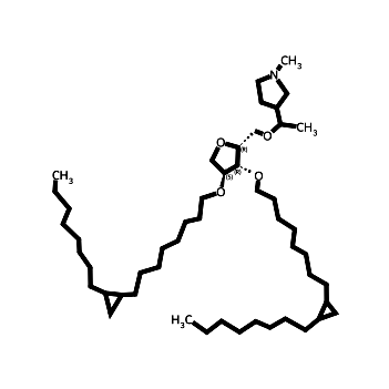 CCCCCCCCC1CC1CCCCCCCCO[C@@H]1[C@@H](OCCCCCCCCC2CC2CCCCCCCC)CO[C@@H]1COC(C)C1CCN(C)C1